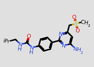 CC(C)CNC(=O)Nc1ccc(-c2nc(N)cc(CS(C)(=O)=O)n2)cc1